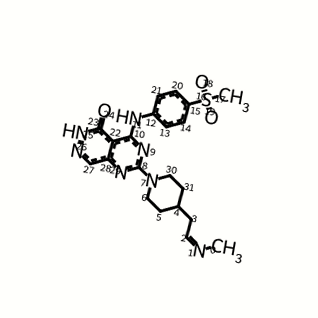 C/N=C\CC1CCN(c2nc(Nc3ccc(S(C)(=O)=O)cc3)c3c(=O)[nH]ncc3n2)CC1